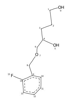 OCCCC(O)COCc1ccccc1F